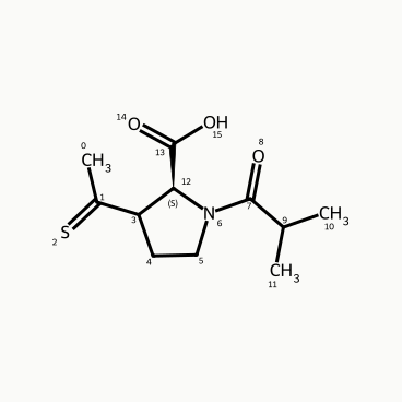 CC(=S)C1CCN(C(=O)C(C)C)[C@@H]1C(=O)O